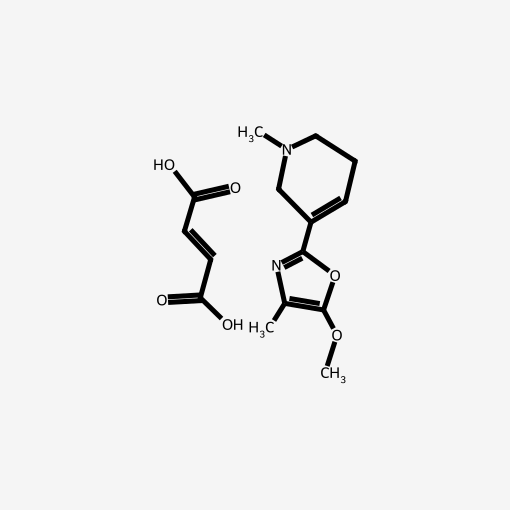 COc1oc(C2=CCCN(C)C2)nc1C.O=C(O)C=CC(=O)O